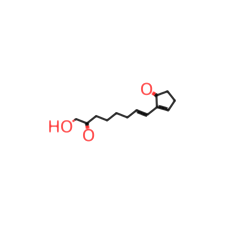 O=C(CO)CCCCC=CC1=CCCC1=O